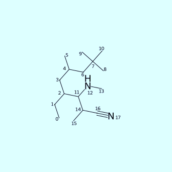 CCC(CC(C)CC(C)(C)C)C(NC)C(C)C#N